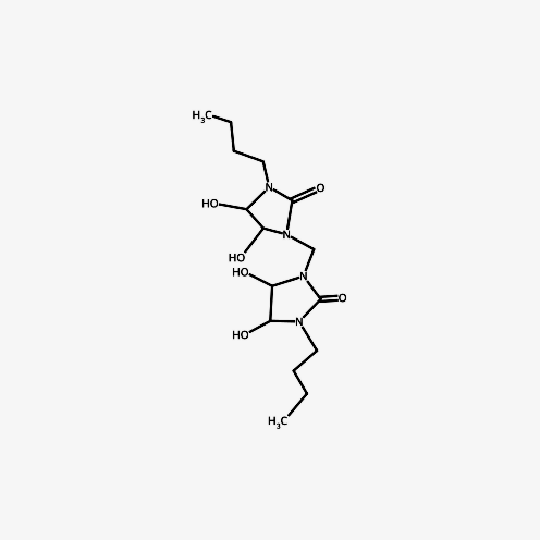 CCCCN1C(=O)N(CN2C(=O)N(CCCC)C(O)C2O)C(O)C1O